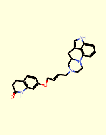 O=C1CCc2ccc(OC/C=C/CN3CCN4c5cccc6[nH]cc(c56)CC4C3)cc2N1